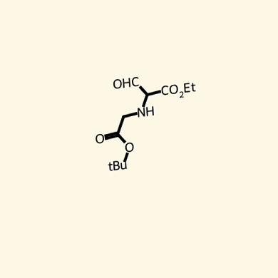 CCOC(=O)C(C=O)NCC(=O)OC(C)(C)C